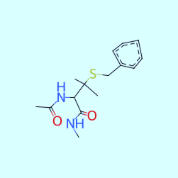 CNC(=O)C(NC(C)=O)C(C)(C)SCc1ccccc1